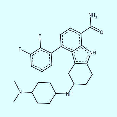 CN(C)C1CCC(NC2CCc3[nH]c4c(C(N)=O)ccc(-c5cccc(F)c5F)c4c3C2)CC1